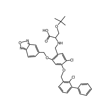 CC(C)(C)OCC(NCc1cc(Cl)c(OCc2cccc(-c3ccccc3)c2Cl)cc1OCc1ccc2nonc2c1)C(=O)O